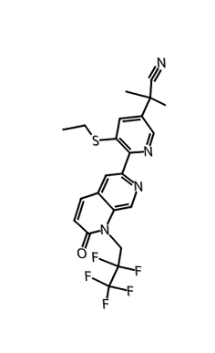 CCSc1cc(C(C)(C)C#N)cnc1-c1cc2ccc(=O)n(CC(F)(F)C(F)(F)F)c2cn1